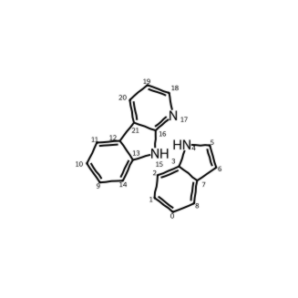 c1ccc2[nH]ccc2c1.c1ccc2c(c1)[nH]c1ncccc12